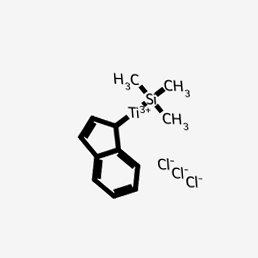 C[Si](C)(C)[Ti+3][CH]1C=Cc2ccccc21.[Cl-].[Cl-].[Cl-]